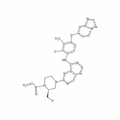 C=CC(=O)N1CCN(c2ncc3ncnc(Nc4ccc(Oc5ccn6ncnc6c5)c(C)c4F)c3n2)C[C@H]1CF